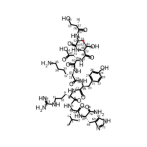 CC(C)C[C@H](NC(=O)[C@H](CCCNC(=N)N)NC(=O)[C@H](Cc1ccc(O)cc1)NC(=O)[C@H](CCCCN)NC(=O)[C@H](CC(=O)O)NC(=O)[C@@H](NC(=O)[C@H](C)NC(=O)[C@@H](C)CO)[C@@H](C)O)C(=O)N[C@@H](Cc1c[nH]cn1)C(N)=O